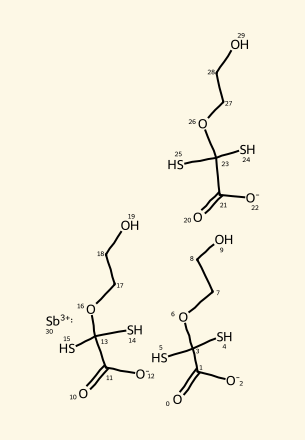 O=C([O-])C(S)(S)OCCO.O=C([O-])C(S)(S)OCCO.O=C([O-])C(S)(S)OCCO.[Sb+3]